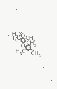 CCc1cc(C)c(Oc2cc(C)c(OC)c(C)c2)c(C)c1